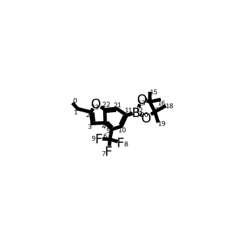 CCc1cc2c(C(F)(F)F)cc(B3OC(C)(C)C(C)(C)O3)cc2o1